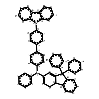 C1=C(N(c2ccccc2)c2ccc(-c3ccc(-n4c5ccccc5c5ccccc54)cc3)cc2)C=C2C(C1)c1ccccc1C2(c1ccccc1)c1ccccc1